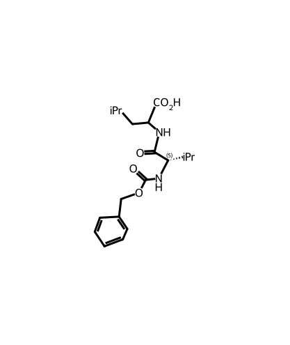 CC(C)CC(NC(=O)[C@@H](NC(=O)OCc1ccccc1)C(C)C)C(=O)O